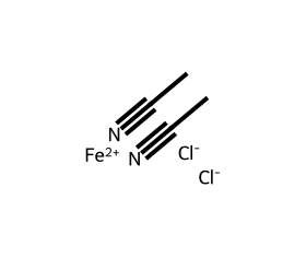 CC#N.CC#N.[Cl-].[Cl-].[Fe+2]